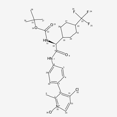 Cc1c(-c2ccc(NC(=O)[C@@H](NC(=O)OC(C)(C)C)C3CCC(C(F)(F)F)CC3)cc2)c(Cl)cc[n+]1[O-]